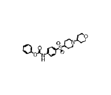 O=C(Nc1ccc(S(=O)(=O)C2CCN(C3CCOCC3)CC2)cc1)Oc1ccccc1